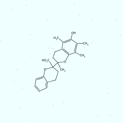 Cc1c(C)c2c(c(C)c1O)CCC(C)(C1(C(=O)O)CCc3ccccc3O1)O2